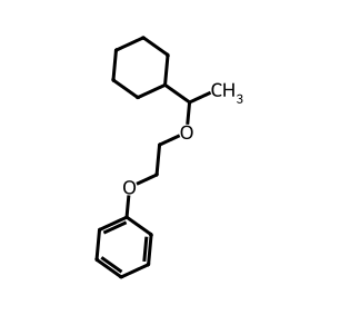 CC(OCCOc1ccccc1)C1CCCCC1